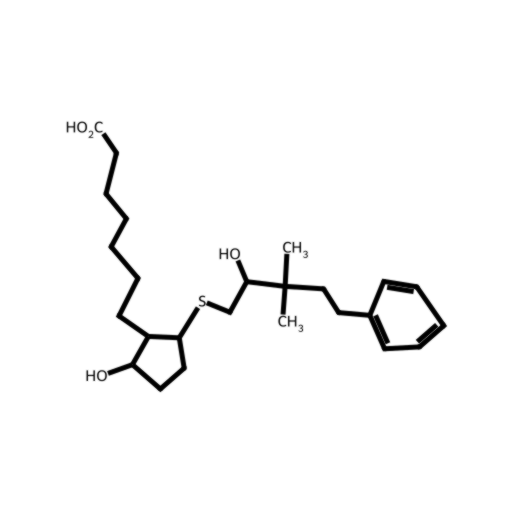 CC(C)(CCc1ccccc1)C(O)CSC1CCC(O)C1CCCCCCC(=O)O